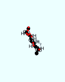 NC(Cc1c[nH]c2ccc(CC3NC(=O)N(CCc4ccccc4)C3=O)cc12)OC(=O)/C=C\C(=O)OC(N)Cc1c[nH]c2ccc(CC3NC(=O)N(CCc4ccccc4)C3=O)cc12